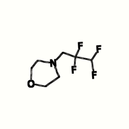 FC(F)C(F)(F)CN1CCOCC1